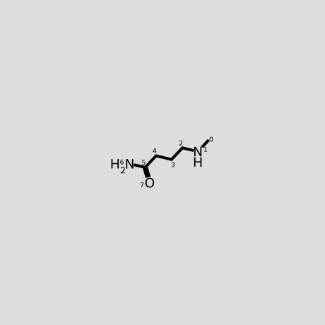 CNCCCC(N)=O